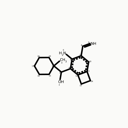 CC1(C(O)c2c(N)c(C=N)cc3c2CC3)CCCCC1